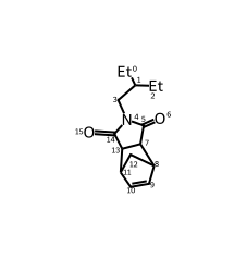 CCC(CC)CN1C(=O)C2C3C=CC(C3)C2C1=O